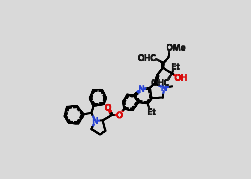 CCc1c2c(nc3ccc(OC(=O)C4CCCN4C(c4ccccc4)c4ccccc4)cc13)/C(=C/C(=C(\C=O)COC)[C@](O)(C=O)CC)N(C)C2